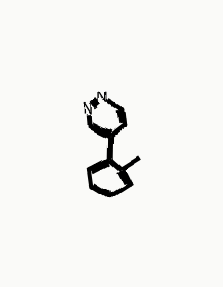 Cc1ccccc1-c1ccnnc1